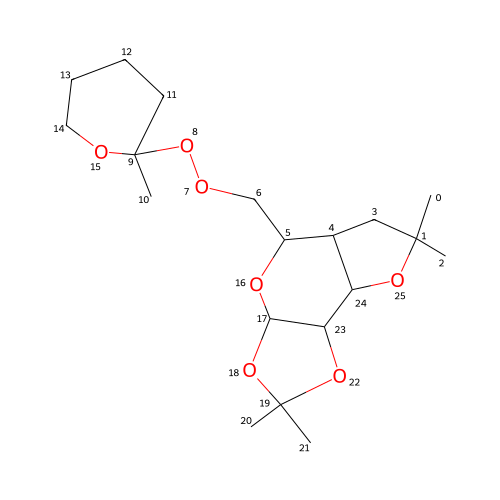 CC1(C)CC2C(COOC3(C)CCCCO3)OC3OC(C)(C)OC3C2O1